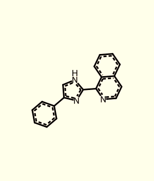 c1ccc(-c2c[nH]c(-c3nccc4ccccc34)n2)cc1